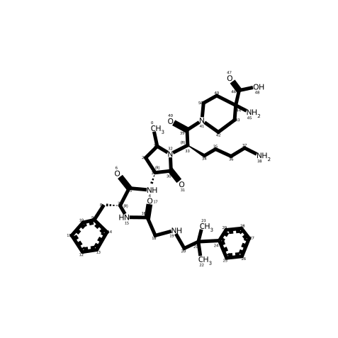 CC1C[C@@H](NC(=O)[C@@H](Cc2ccccc2)NC(=O)CNCC(C)(C)c2ccccc2)C(=O)N1[C@H](CCCCN)C(=O)N1CCC(N)(C(=O)O)CC1